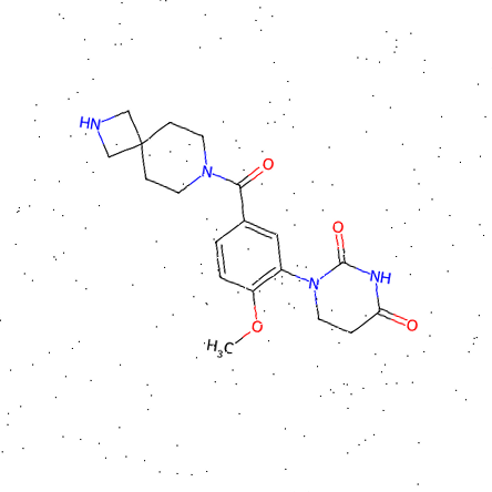 COc1ccc(C(=O)N2CCC3(CC2)CNC3)cc1N1CCC(=O)NC1=O